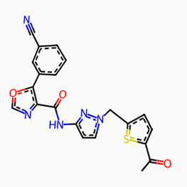 CC(=O)c1ccc(Cn2ccc(NC(=O)c3ncoc3-c3cccc(C#N)c3)n2)s1